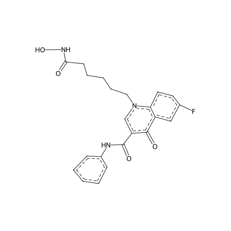 O=C(CCCCCn1cc(C(=O)Nc2ccccc2)c(=O)c2cc(F)ccc21)NO